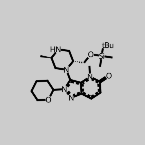 C[C@@H]1CN(c2c3c(ccc(=O)n3C)nn2C2CCCCO2)[C@@H](CO[Si](C)(C)C(C)(C)C)CN1